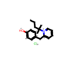 CCCC(C)(C)[n+]1ccccc1Cc1ccc(O)cc1.[Cl-]